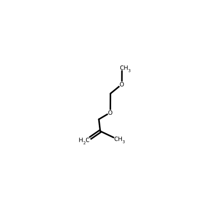 C=C(C)COCOC